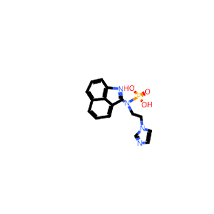 O=P(O)(O)N(CCn1ccnc1)C1=Nc2cccc3cccc1c23